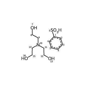 O=S(=O)(O)c1ccccc1.OCCN(CCO)CCO